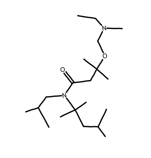 CCN(C)COC(C)(C)CC(=O)N(CC(C)C)C(C)(C)CC(C)C